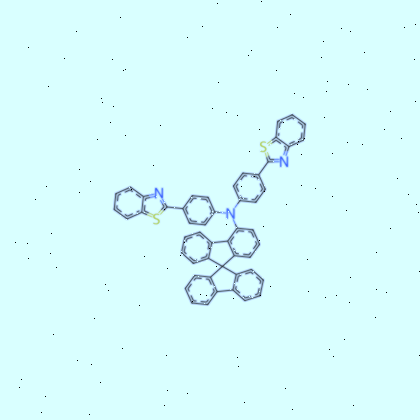 c1ccc2c(c1)-c1ccccc1C21c2ccccc2-c2c(N(c3ccc(-c4nc5ccccc5s4)cc3)c3ccc(-c4nc5ccccc5s4)cc3)cccc21